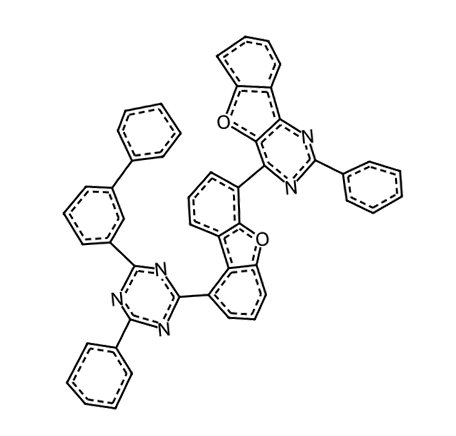 c1ccc(-c2cccc(-c3nc(-c4ccccc4)nc(-c4cccc5oc6c(-c7nc(-c8ccccc8)nc8c7oc7ccccc78)cccc6c45)n3)c2)cc1